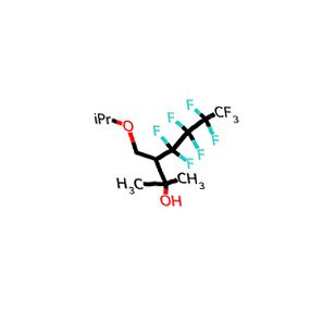 CC(C)OCC(C(C)(C)O)C(F)(F)C(F)(F)C(F)(F)C(F)(F)F